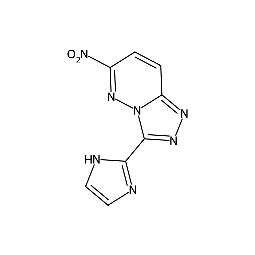 O=[N+]([O-])c1ccc2nnc(-c3ncc[nH]3)n2n1